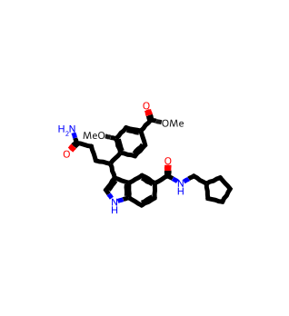 COC(=O)c1ccc(C(CCC(N)=O)c2c[nH]c3ccc(C(=O)NCC4CCCC4)cc23)c(OC)c1